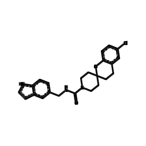 O=C(NCc1ccc2[nH]ccc2c1)N1CCC2(CCc3cc(Cl)ccc3O2)CC1